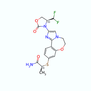 C[C@H](Sc1ccc2c(c1)OCCn1cc(N3C(=O)OC[C@H]3C(F)F)nc1-2)C(N)=O